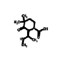 CN/C(C)=C1\C(=O)C(C)(C)CCN1C(=O)O